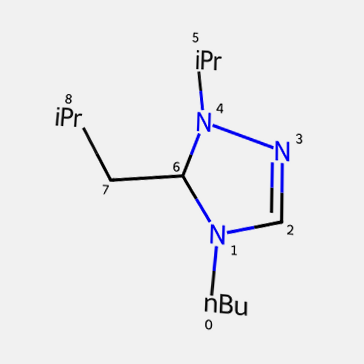 CCCCN1C=NN(C(C)C)C1CC(C)C